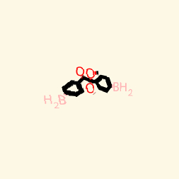 Bc1ccc(C(=O)C(OC)(OC)c2ccc(B)cc2)cc1